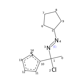 CC(Cl)(/N=N/C1CCCC1)c1cccs1